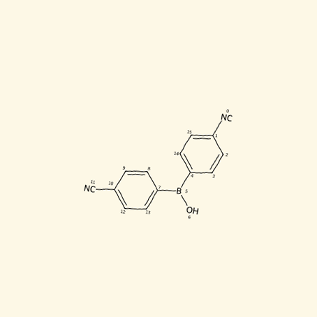 [C-]#[N+]c1ccc(B(O)c2ccc(C#N)cc2)cc1